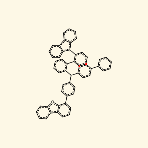 c1ccc(-c2ccc(N(c3ccc(-c4cccc5c4oc4ccccc45)cc3)c3ccccc3-c3ccccc3-n3c4ccccc4c4ccccc43)cc2)cc1